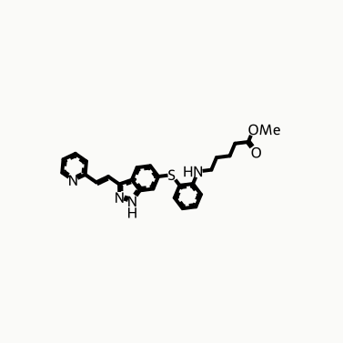 COC(=O)CCCCNc1ccccc1Sc1ccc2c(C=Cc3ccccn3)n[nH]c2c1